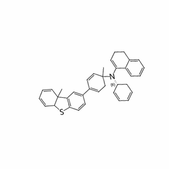 CC12C=CC=CC1Sc1ccc(C3=CCC(C)(N(C4=CCCc5ccccc54)[C@H]4C=CC=CC4)C=C3)cc12